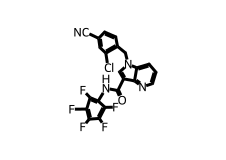 N#Cc1ccc(Cn2cc(C(=O)Nc3c(F)c(F)c(F)c(F)c3F)c3ncccc32)c(Cl)c1